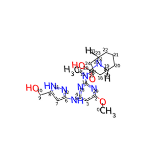 COc1cc(Nc2cc(CO)[nH]n2)nc(N(C)C2C[C@H]3CCC[C@@H](C2)N3C(=O)O)n1